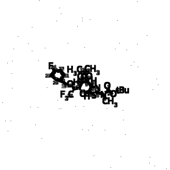 CN(C(=O)OC(C)(C)C)C1=N[C@@H]2[C@H]3OC(C)(C)O[C@@H]3[C@@H]([C@@H](OCc3ccc(F)cc3)C(F)(F)F)O[C@@H]2S1